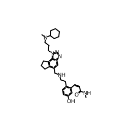 CNC(=O)/C=C\c1cc(O)ccc1CCNCc1cc2nnn(CCCN(C)C3CCCCC3)c2c2c1CCC2